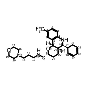 FC(F)(F)c1ccc2c(c1)[C@H]1O[C@@H](CNCCCN3CCOCC3)CC[C@H]1[C@H](C1C=CC=CC1)N2